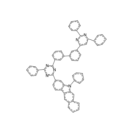 c1ccc(-c2cc(-c3cccc(-c4cccc(-c5nc(-c6ccccc6)nc(-c6ccc7c8cc9ccccc9cc8n(-c8ccccc8)c7c6)n5)c4)c3)nc(-c3ccccc3)n2)cc1